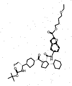 CCOCCCCOC(=O)c1cc2cc(NC(=O)[C@@H]3[C@H](C4CCCCC4)CCN3C(=O)[C@H]3CC[C@H]([C@@H](CF)NC(=O)OC(C)(C)C)CC3)ccc2o1